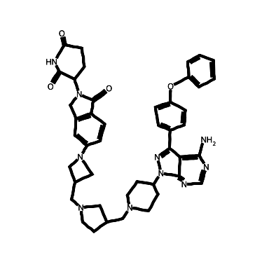 Nc1ncnc2c1c(-c1ccc(Oc3ccccc3)cc1)nn2C1CCN(CC2CCN(CC3CN(c4ccc5c(c4)CN(C4CCC(=O)NC4=O)C5=O)C3)C2)CC1